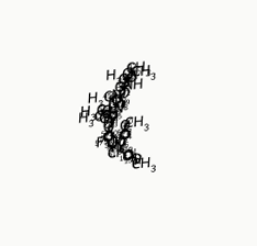 COc1ccc(CN(Cc2ccc(OC)cc2)c2nc3cc(OCC4=C[C@@H](n5ccc6c(OC(=O)NC(=O)OC(C)(C)C)nc(C)nc65)[C@@H]5OC(C)(C)O[C@H]45)cc(F)c3cc2Cl)cc1